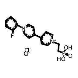 O=P(O)(O)CC[n+]1ccc(-c2cc[n+](-c3ccccc3F)cc2)cc1.[Cl-].[Cl-]